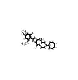 COc1cc(F)c(-c2nc(C)c(C(=O)N3CCN(C4CCCCCC4)CC3)s2)c(OC)c1